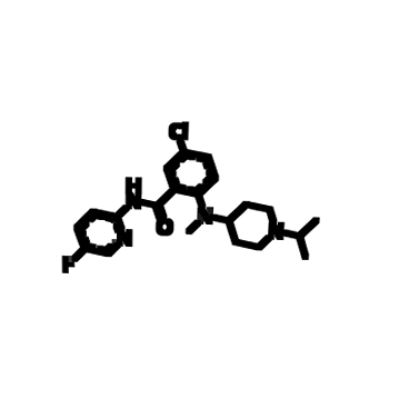 CC(C)N1CCC(N(C)c2ccc(Cl)cc2C(=O)Nc2ccc(F)cn2)CC1